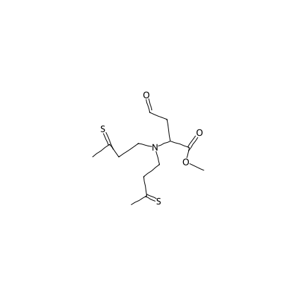 COC(=O)C(CC=O)N(CCC(C)=S)CCC(C)=S